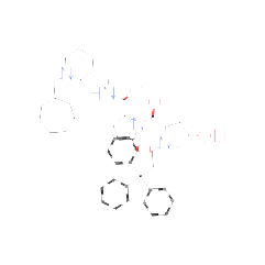 O=C(NC[C@H]1CCCN(CC2CCCCCC2)C1)[C@H]1CCCN1C(=O)[C@@H]1C[C@@H](O)CN1C(=O)CC(c1ccccc1)(c1ccccc1)c1ccccc1